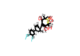 CCc1cc(-c2ccc(F)c(F)c2)ccc1C1=C(O)C(C)(C)S(=O)(=O)C(C)(C)C1=O